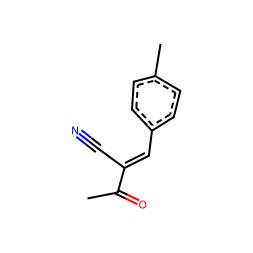 CC(=O)/C(C#N)=C/c1ccc(C)cc1